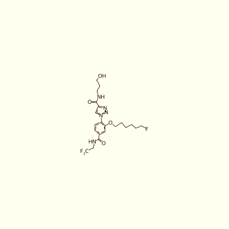 O=C(NCC(F)(F)F)c1ccc(-n2cc(C(=O)NCCCO)nn2)c(OCCCCCCF)c1